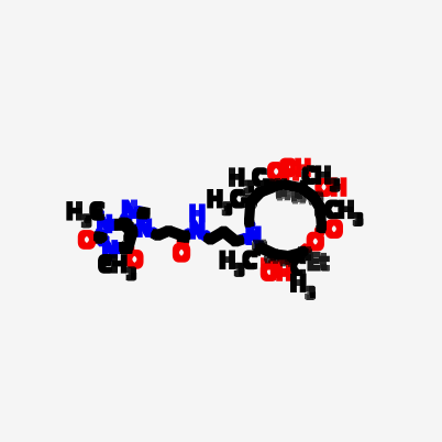 CC[C@H]1OC(=O)[C@H](C)[C@@H](O)[C@H](C)[C@@H](O)[C@](C)(O)C[C@@H](C)CN(CCCNC(=O)CCn2cnc3c2c(=O)n(C)c(=O)n3C)[C@H](C)[C@@H](O)[C@]1(C)O